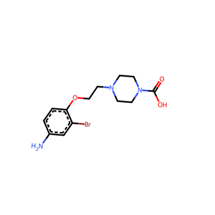 Nc1ccc(OCCN2CCN(C(=O)O)CC2)c(Br)c1